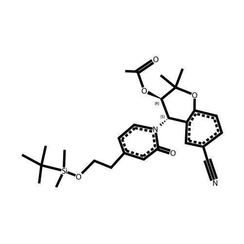 CC(=O)O[C@@H]1[C@@H](n2ccc(CCO[Si](C)(C)C(C)(C)C)cc2=O)c2cc(C#N)ccc2OC1(C)C